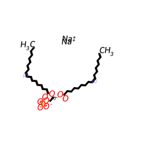 CCCCCCCC/C=C\CCCCCCCC(=O)OC[C@H](COP(=O)([O-])[O-])OC(=O)CCCCCCC/C=C\CCCCCCCC.[Na+].[Na+]